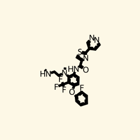 CNCCN(C)c1c(NC(=O)c2csc(-c3ccnnc3)n2)ccc(Oc2ccccc2F)c1C(F)(F)F